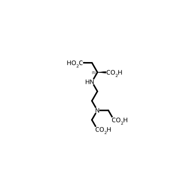 O=C(O)C[C@H](NCCN(CC(=O)O)CC(=O)O)C(=O)O